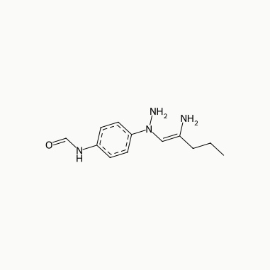 CCC/C(N)=C/N(N)c1ccc(NC=O)cc1